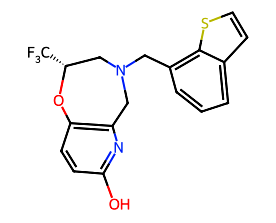 Oc1ccc2c(n1)CN(Cc1cccc3ccsc13)C[C@@H](C(F)(F)F)O2